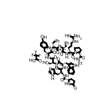 CCNC(=O)[C@@H]1CCCN1C(=O)[C@H](CCCNC(=N)N)NC(=O)[C@H](CC(C)C)NC(=O)[C@@H](CC(C)C)NC(=O)[C@H](Cc1ccc(O)cc1)NC(=O)[C@H](CO)NC(=O)[C@H](Cc1c[nH]c2ccccc12)NC(=O)[C@H](Cc1cnc[nH]1)NC(=O)[C@@H]1CCC(=O)N1.O=C(O)C(F)(F)F